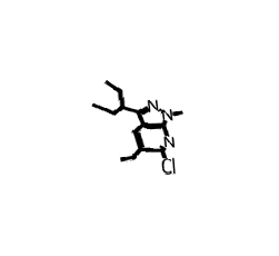 CCc1cc2c(C(CC)CC)nn(C)c2nc1Cl